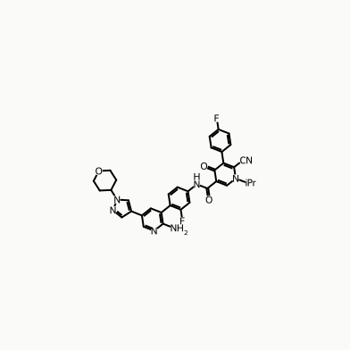 CC(C)n1cc(C(=O)Nc2ccc(-c3cc(-c4cnn(C5CCOCC5)c4)cnc3N)c(F)c2)c(=O)c(-c2ccc(F)cc2)c1C#N